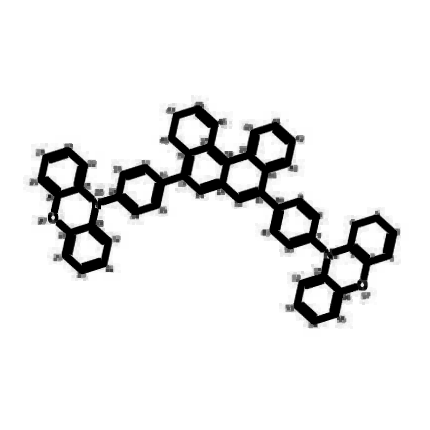 C1=CC2=C(CC1)N(c1ccc(-c3cc4cc(-c5ccc(N6c7ccccc7Oc7ccccc76)cc5)c5c(c4c4ccccc34)C=CCC5)cc1)c1ccccc1O2